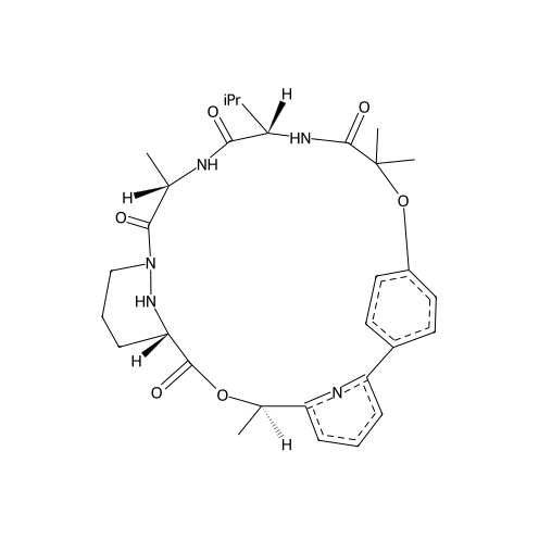 CC(C)[C@@H]1NC(=O)C(C)(C)Oc2ccc(cc2)-c2cccc(n2)[C@@H](C)OC(=O)[C@@H]2CCCN(N2)C(=O)[C@H](C)NC1=O